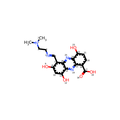 CN(C)CCN=Cc1c(O)cc(O)c2nc3c(C(=O)O)ccc(O)c3nc12